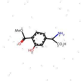 COC(=O)c1ccc(C(N)C(=O)O)cc1O